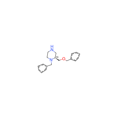 c1ccc(COC[C@@H]2CNCCN2Cc2ccccc2)cc1